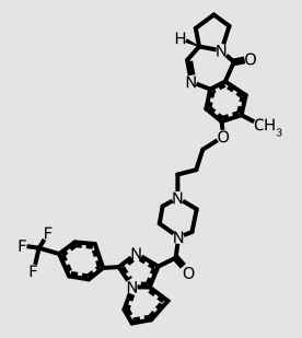 Cc1cc2c(cc1OCCCN1CCN(C(=O)c3nc(-c4ccc(C(F)(F)F)cc4)n4ccccc34)CC1)N=C[C@@H]1CCCN1C2=O